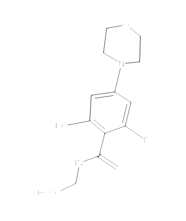 Cc1cc(N2CCOCC2)cc(F)c1C(=O)NCC(=O)O